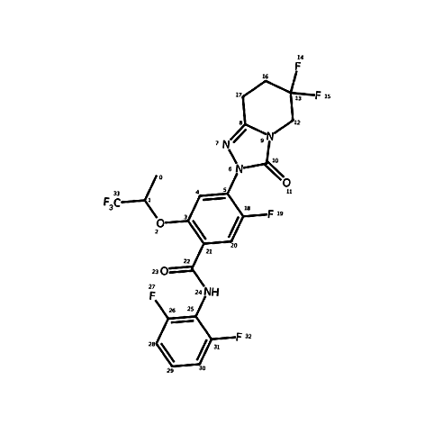 CC(Oc1cc(-n2nc3n(c2=O)CC(F)(F)CC3)c(F)cc1C(=O)Nc1c(F)cccc1F)C(F)(F)F